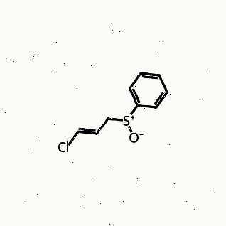 [O-][S+](CC=CCl)c1ccccc1